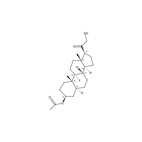 CC(=O)O[C@H]1CC[C@@]2(C)[C@@H](CC[C@H]3[C@@H]4CC[C@H](C(=O)CO)[C@@]4(C)CC[C@@]32F)C1